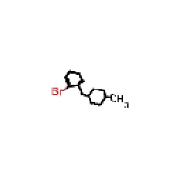 CC1CCC(Cc2ccccc2Br)CC1